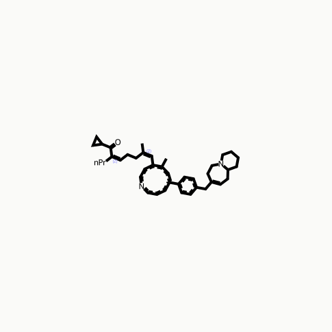 CCC/C(=C/CC/C(C)=C\c1ccncccc(-c2ccc(CC3=CCC4CCCCN4CC3)cc2)cc1C)C(=O)C1CC1